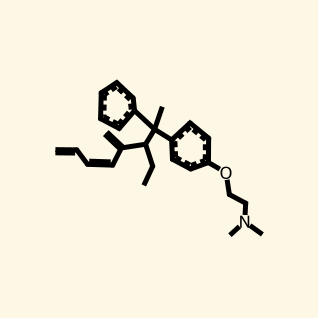 C=C/C=C\C(=C)C(CC)C(C)(c1ccccc1)c1ccc(OCCN(C)C)cc1